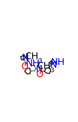 CN(C(=O)c1cccc(-c2cc[nH]n2)c1)C(CCNC(=O)c1cccn1C)Cc1ccccc1